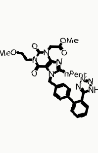 CCCCCc1nc2c(c(=O)n(CCOC)c(=O)n2CC(=O)OC)n1Cc1ccc(-c2ccccc2-c2nnn[nH]2)cc1